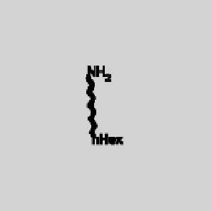 CCCCCCCCCCCCCCCN